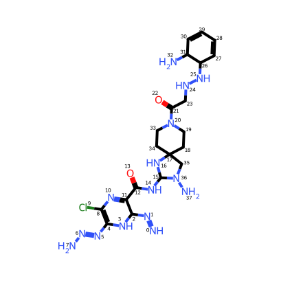 N=NC1NC(N=NN)=C(Cl)N=C1C(=O)NC1NC2(CCN(C(=O)CNNC3C=CC=CC3N)CC2)CN1N